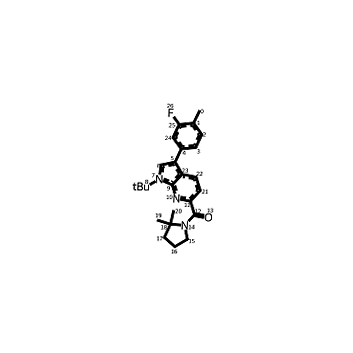 Cc1ccc(-c2cn(C(C)(C)C)c3nc(C(=O)N4CCCC4(C)C)ccc23)cc1F